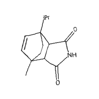 CC(C)C12C=CC(C)(CC1)C1C(=O)NC(=O)C12